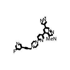 CNc1cnn2cc(-c3cnn(C)c3)cc(-c3ccc(N4CCN(CC#Cc5cncc(F)c5)CC4)nc3)c12